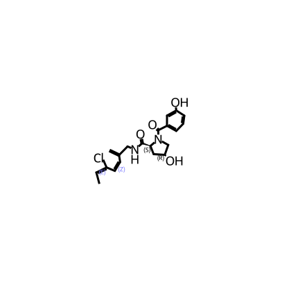 C=C(/C=C\C(Cl)=C/C)CNC(=O)[C@@H]1C[C@@H](O)CN1C(=O)c1cccc(O)c1